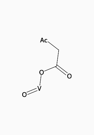 CC(=O)CC(=O)[O][V]=[O]